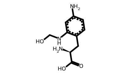 Nc1ccc(C[C@H](N)C(=O)O)c(NCO)c1